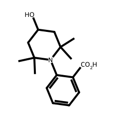 CC1(C)CC(O)CC(C)(C)N1c1ccccc1C(=O)O